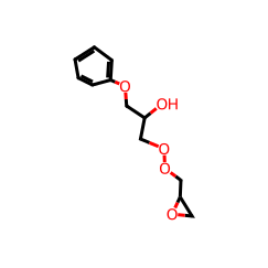 OC(COOCC1CO1)COc1ccccc1